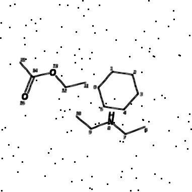 C1CCCCC1.CCNCC.CCOC(C)=O